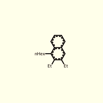 CCCCCCc1c(CC)c(CC)cc2ccccc12